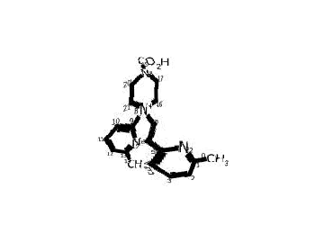 Cc1cccc(CC[N+]2(c3cccc(C)n3)CCN(C(=O)O)CC2)n1